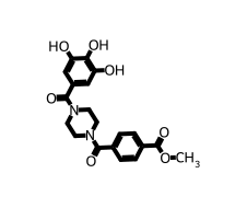 COC(=O)c1ccc(C(=O)N2CCN(C(=O)c3cc(O)c(O)c(O)c3)CC2)cc1